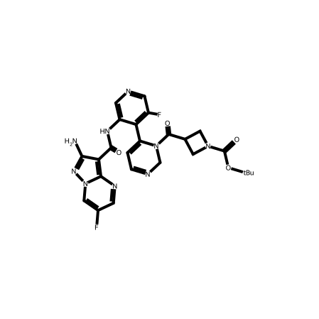 CC(C)(C)OC(=O)N1CC(C(=O)N2CN=CC=C2c2c(F)cncc2NC(=O)c2c(N)nn3cc(F)cnc23)C1